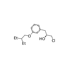 CCC(CC)COc1cccc(C[C@H](O)CCl)c1